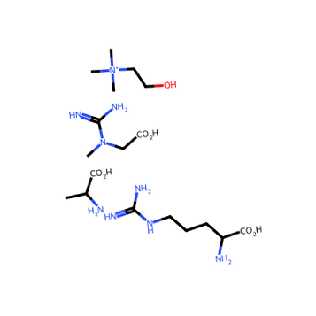 CC(N)C(=O)O.CN(CC(=O)O)C(=N)N.C[N+](C)(C)CCO.N=C(N)NCCCC(N)C(=O)O